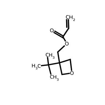 C=CC(=O)OCC1(C(C)(C)C)COC1